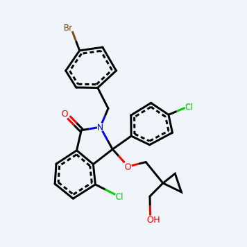 O=C1c2cccc(Cl)c2C(OCC2(CO)CC2)(c2ccc(Cl)cc2)N1Cc1ccc(Br)cc1